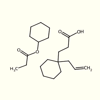 C=CCC1(CCC(=O)O)CCCCC1.CCC(=O)OC1CCCCC1